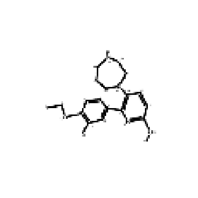 CCOc1ccc(-c2nc(OC)ccc2N2CCCNCC2)cc1C